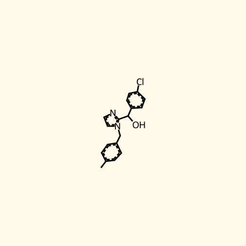 Cc1ccc(Cn2ccnc2C(O)c2ccc(Cl)cc2)cc1